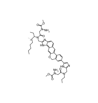 CCCCC[C@H](C)C(CC)N(Cc1nc2ccc3cc4c(cc3c2[nH]1)OCc1cc(-c2cnc(CN(CCC)C(=O)CN(N)C(=O)OC)[nH]2)ccc1-4)C(=O)CN(N)C(=O)OC